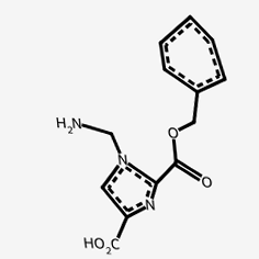 NCn1cc(C(=O)O)nc1C(=O)OCc1ccccc1